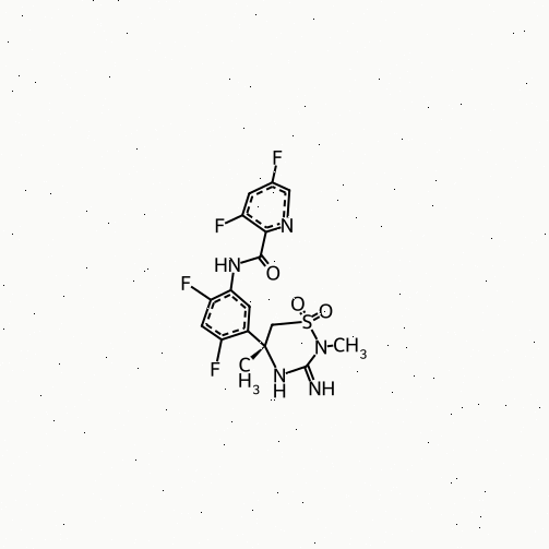 CN1C(=N)N[C@](C)(c2cc(NC(=O)c3ncc(F)cc3F)c(F)cc2F)CS1(=O)=O